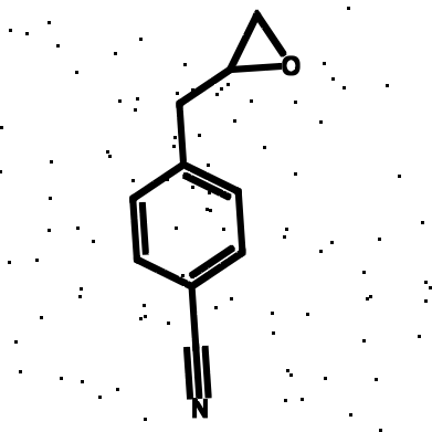 N#Cc1ccc(CC2CO2)cc1